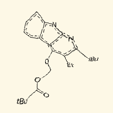 CCc1c(C(C)CC)nc2nc3ccccc3n2c1OCOC(=O)C(C)(C)C